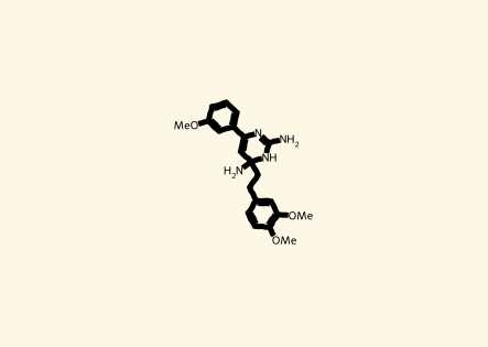 COc1cccc(C2=CC(N)(CCc3ccc(OC)c(OC)c3)NC(N)=N2)c1